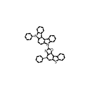 c1ccc(-c2cc3sc4ccccc4c3c3oc(-n4c5ccccc5c5c6c7ccccc7n(-c7ccccc7)c6ccc54)nc23)cc1